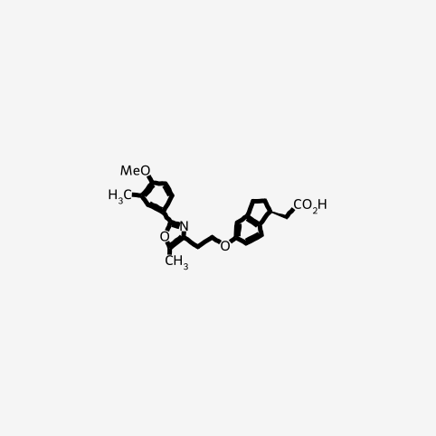 COc1ccc(-c2nc(CCOc3ccc4c(c3)CC[C@H]4CC(=O)O)c(C)o2)cc1C